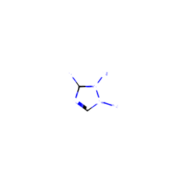 NC1N=CN(N)N1N